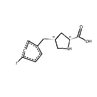 O=C(O)[C@H]1C[C@@H](Cc2ccc(F)cc2)CN1